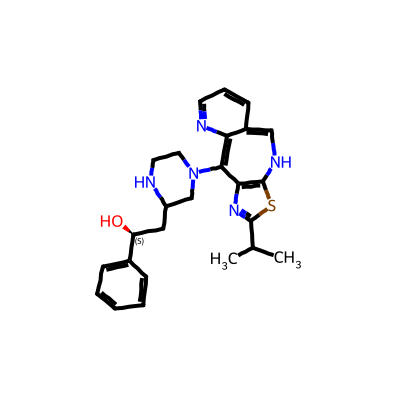 CC(C)c1nc2c(s1)NC=c1cccnc1=C2N1CCNC(C[C@H](O)c2ccccc2)C1